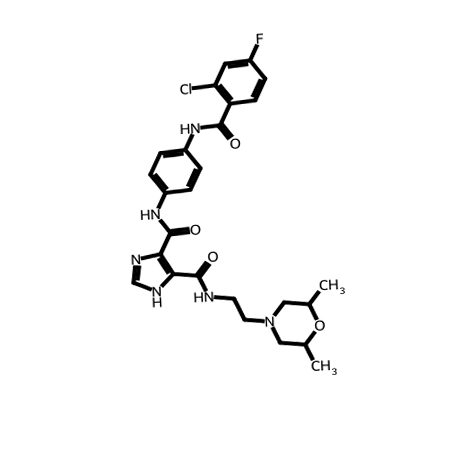 CC1CN(CCNC(=O)c2[nH]cnc2C(=O)Nc2ccc(NC(=O)c3ccc(F)cc3Cl)cc2)CC(C)O1